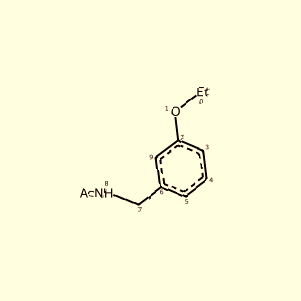 CCOc1cccc(CNC(C)=O)c1